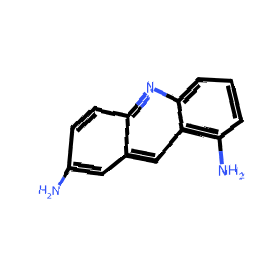 Nc1ccc2nc3cccc(N)c3cc2c1